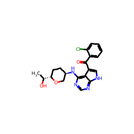 CC(O)[C@@H]1CC[C@@H](Nc2ncnc3[nH]cc(C(=O)c4ccccc4Cl)c23)CO1